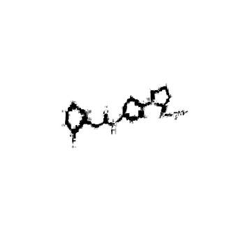 CON=C1CCCN1c1ccc(NC(=O)Cc2ccccc2F)cc1